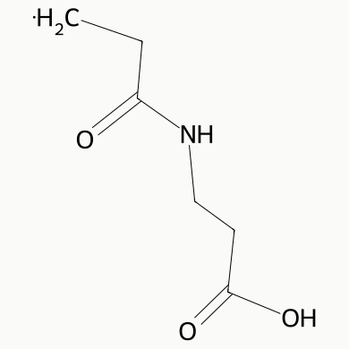 [CH2]CC(=O)NCCC(=O)O